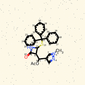 CC(=O)OC(c1cnn(C)c1)C1C(=O)NC1SC(c1ccccc1)(c1ccccc1)c1ccccc1